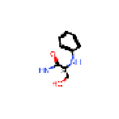 [NH]C(=O)[C@H](CO)Nc1ccccc1